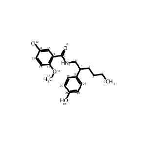 CCCCC(CNC(=O)c1cc(Cl)ccc1OC)c1ccc(O)cc1